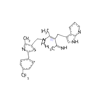 CC(=N)/C(Cc1c[nH]c2ncccc12)=C(/C)NCc1sc(-c2ccc(C(F)(F)F)cc2)nc1C